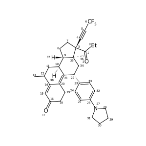 CCC(=O)[C@@]1(C#CC(F)(F)F)CC[C@H]2[C@@H]3CC(C)C4=CC(=O)CCC4=C3[C@@H](c3ccc(N4CCCC4)cc3)C[C@@]21C